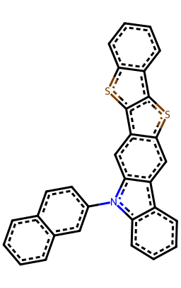 c1ccc2cc(-n3c4ccccc4c4cc5sc6c7ccccc7sc6c5cc43)ccc2c1